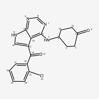 O=C1CCC(Nc2ncnc3[nH]cc(C(=O)c4ccccc4Cl)c23)CC1